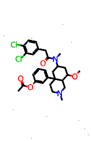 COC1CC(N(C)C(=O)Cc2ccc(Cl)c(Cl)c2)CC2(c3cccc(OC(C)=O)c3)CCN(C)CC12